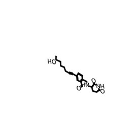 CC(O)CCCCC#Cc1ccc(CNC2CCC(=O)NC2=O)c(C=O)c1